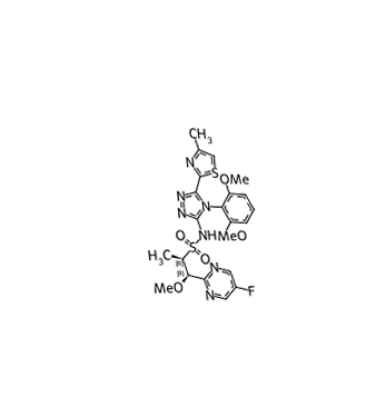 COc1cccc(OC)c1-n1c(NS(=O)(=O)[C@H](C)[C@H](OC)c2ncc(F)cn2)nnc1-c1nc(C)cs1